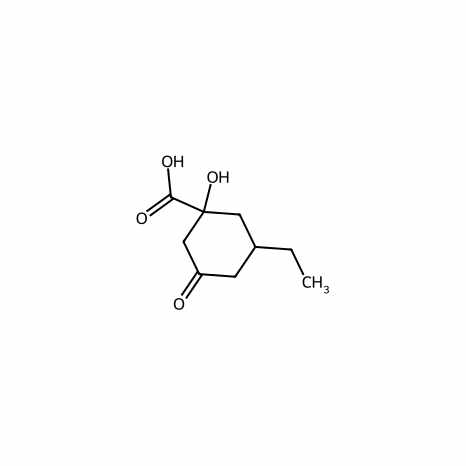 CCC1CC(=O)CC(O)(C(=O)O)C1